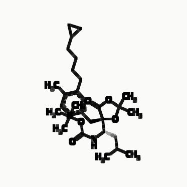 Cc1cnc(C[C@]2([C@H](CC(C)C)NC(=O)OC(C)(C)C)OC(C)(C)OC2=O)cc1CCCCC1CC1